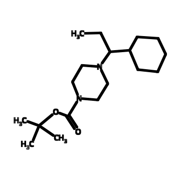 CCC(C1CCCCC1)N1CCN(C(=O)OC(C)(C)C)CC1